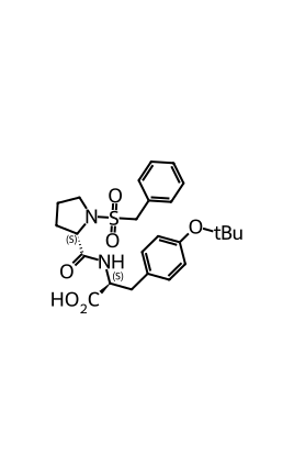 CC(C)(C)Oc1ccc(C[C@H](NC(=O)[C@@H]2CCCN2S(=O)(=O)Cc2ccccc2)C(=O)O)cc1